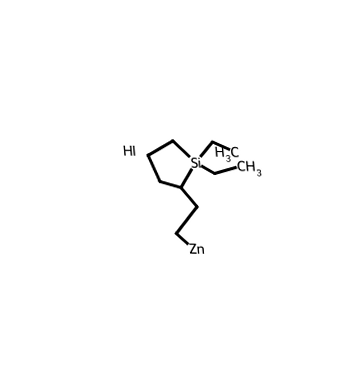 CC[Si]1(CC)CCCC1C[CH2][Zn].I